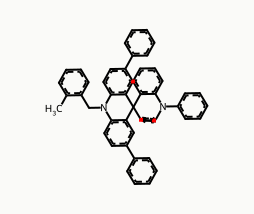 Cc1ccccc1CN1c2ccc(-c3ccccc3)cc2C2(c3cc(-c4ccccc4)ccc31)c1ccccc1N(c1ccccc1)c1ccccc12